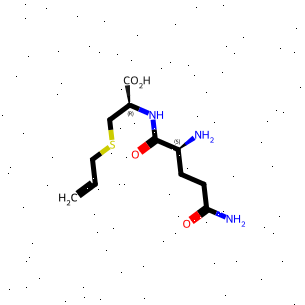 C=CCSC[C@H](NC(=O)[C@@H](N)CCC(N)=O)C(=O)O